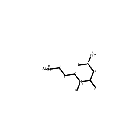 CCCN(C)CC(C)N(C)CCCNC